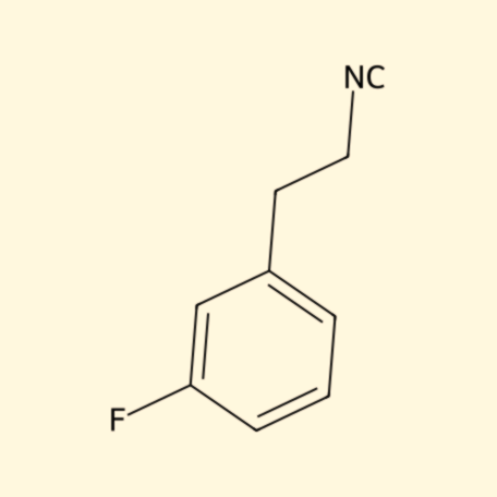 [C-]#[N+]CCc1cccc(F)c1